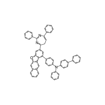 C1=C(c2ccccc2)N=C(c2ccccc2)N=C(c2cc(-c3ccc(N(c4ccccc4)c4ccc(-c5ccccc5)cc4)cc3)c3c(c2)oc2cc4ccccc4cc23)C1